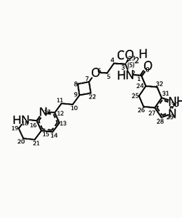 O=C(N[C@@H](CCOC1CC(CCc2ccc3c(n2)NCCC3)C1)C(=O)O)C1CCc2cn[nH]c2C1